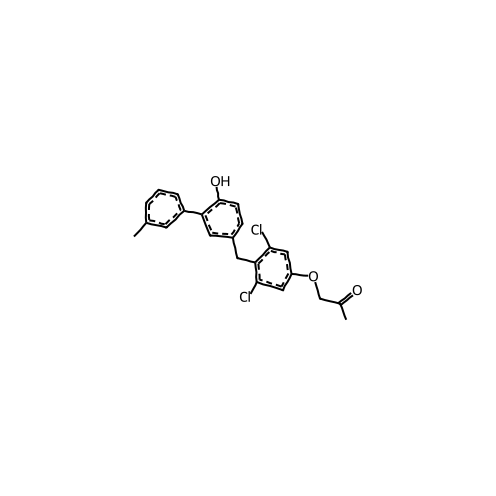 CC(=O)COc1cc(Cl)c(Cc2ccc(O)c(-c3cccc(C)c3)c2)c(Cl)c1